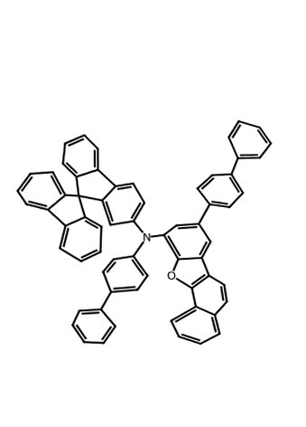 c1ccc(-c2ccc(-c3cc(N(c4ccc(-c5ccccc5)cc4)c4ccc5c(c4)C4(c6ccccc6-c6ccccc64)c4ccccc4-5)c4oc5c6ccccc6ccc5c4c3)cc2)cc1